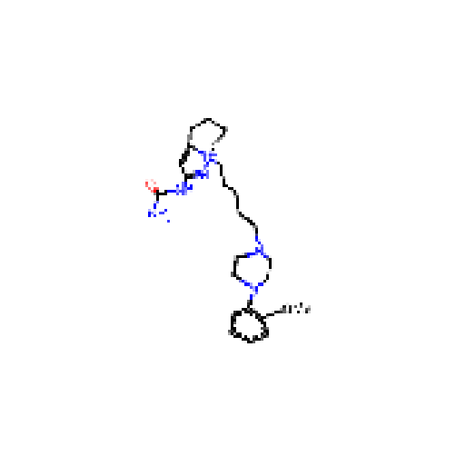 COc1ccccc1N1CCN(CCCCC[N+]23CCCCC2=CC(NC(N)=O)=N3)CC1